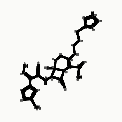 Nc1nc(/C(=N/O)C(=O)N[C@@H]2C(=O)N3C(C(=O)O)=C(SCSCc4c[nH]nn4)CS[C@@H]23)cs1